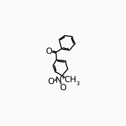 CC1([N+](=O)[O-])C=CC(C(=O)c2ccccc2)=CC1